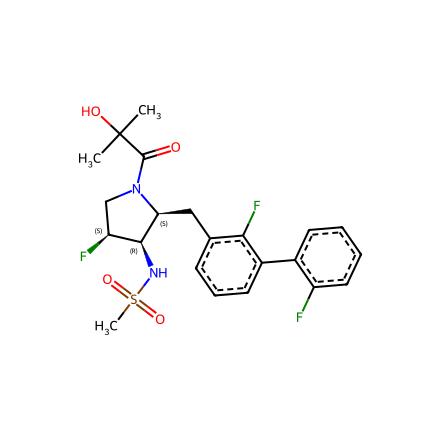 CC(C)(O)C(=O)N1C[C@H](F)[C@H](NS(C)(=O)=O)[C@@H]1Cc1cccc(-c2ccccc2F)c1F